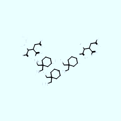 NCC1(CN)CCCCC1.NCC1(CN)CCCCC1.NCC1(CN)CCCCC1.O=C([O-])CC(C(=O)[O-])C(O)C(=O)[O-].O=C([O-])CC(C(=O)[O-])C(O)C(=O)[O-].[Pt+2].[Pt+2].[Pt+2]